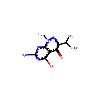 CC(C(=O)O)c1nn(C)c2nc(N)nc(O)c2c1=O